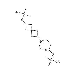 CC(C)(C)[Si](C)(C)OC1CC2(C1)CC(N1CC=C(OS(=O)(=O)C(F)(F)F)CC1)C2